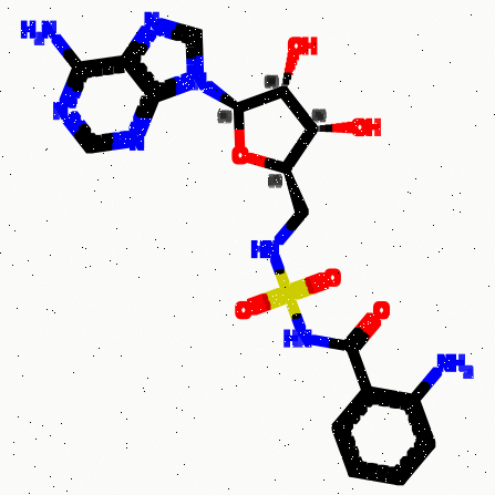 Nc1ccccc1C(=O)NS(=O)(=O)NC[C@H]1O[C@@H](n2cnc3c(N)ncnc32)[C@H](O)[C@@H]1O